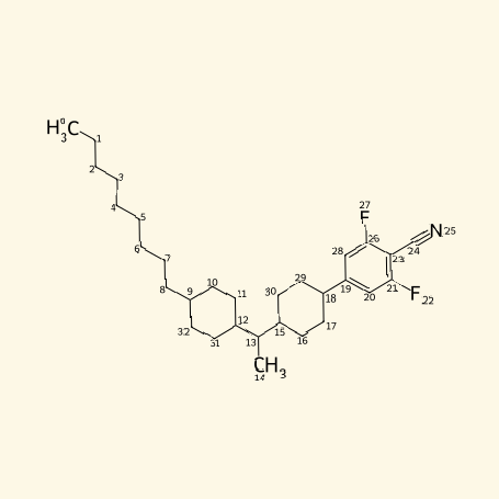 CCCCCCCCCC1CCC(C(C)C2CCC(c3cc(F)c(C#N)c(F)c3)CC2)CC1